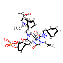 C=CCN1CC(=O)N2[C@@H](Cc3ccc(OP(=O)(O)O)cc3)C(=O)N(Cc3cccc4c(C(=O)CCC)cn(C)c34)C[C@@H]2N1C(=O)NCc1ccccc1